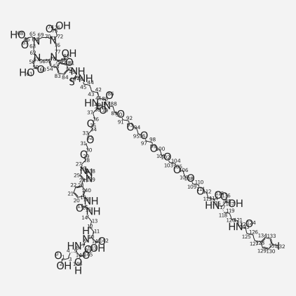 O=C(O)CC[C@H](NC(=O)N[C@@H](CCCCNC(=O)Nc1cccc(-c2cn(CCOCCOCCOCCC(=O)N[C@@H](CCCCNC(=S)Nc3ccc(/C=C4/CN(CC(=O)O)CCN(CC(=O)O)CCN(CC(=O)O)CCN4CC(=O)O)cc3)C(=O)NCCOCCOCCOCCOCCOCCOCCOCCOCCC(=O)N[C@@H](CCCCNC(=O)CCCc3ccc(I)cc3)C(=O)O)nn2)c1)C(=O)O)C(=O)O